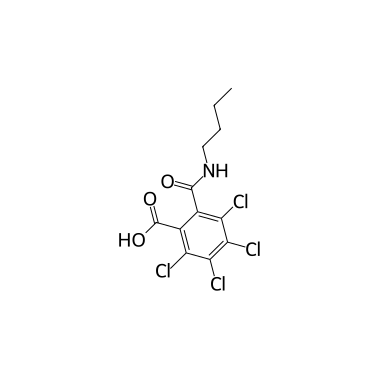 CCCCNC(=O)c1c(Cl)c(Cl)c(Cl)c(Cl)c1C(=O)O